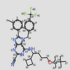 Cc1cccc(-c2nc3nc(C#N)nc(NC(CCCO[Si](C)(C)C(C)(C)C)C4CCC4)c3n2Cc2ccc(C(F)(F)F)cc2)c1